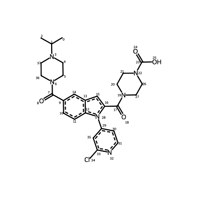 CC(C)N1CCN(C(=O)c2ccc3c(c2)cc(C(=O)N2CCN(C(=O)O)CC2)n3-c2ccnc(Cl)c2)CC1